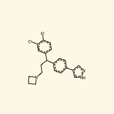 Clc1ccc(C(CCN2CCC2)c2ccc(-c3cn[nH]c3)cc2)cc1Cl